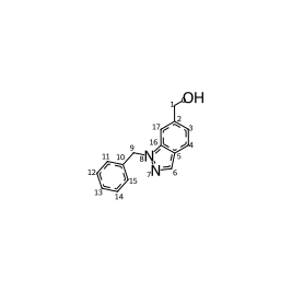 OCc1ccc2cnn(Cc3ccccc3)c2c1